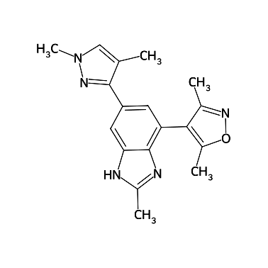 Cc1nc2c(-c3c(C)noc3C)cc(-c3nn(C)cc3C)cc2[nH]1